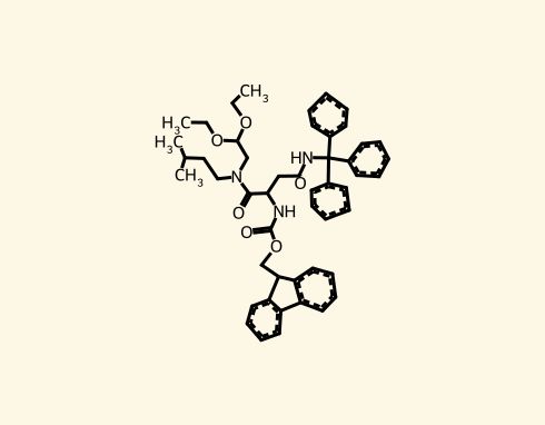 CCOC(CN(CCC(C)C)C(=O)C(CC(=O)NC(c1ccccc1)(c1ccccc1)c1ccccc1)NC(=O)OCC1c2ccccc2-c2ccccc21)OCC